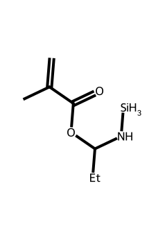 C=C(C)C(=O)OC(CC)N[SiH3]